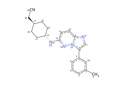 Cc1cccc(-c2cnc3ccc(N[C@H]4CC[C@H](CC#N)CC4)nn23)c1